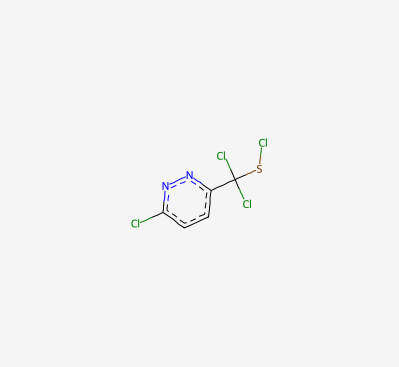 ClSC(Cl)(Cl)c1ccc(Cl)nn1